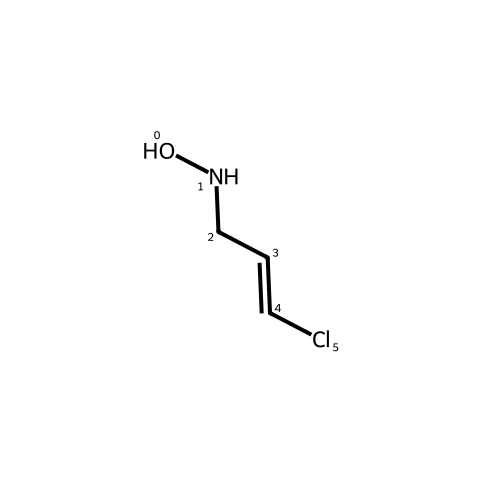 ONCC=CCl